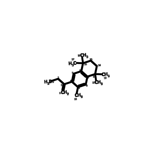 BCC(=C)c1cc2c(cc1C)C(C)(C)CCC2(C)C